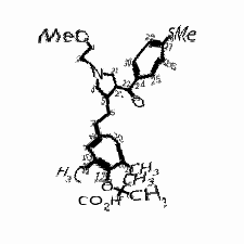 COCCN1CC(CCc2cc(C)c(OC(C)(C)C(=O)O)c(C)c2)C(C(=O)c2ccc(SC)cc2)C1